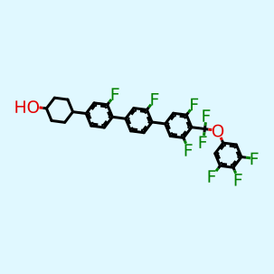 OC1CCC(c2ccc(-c3ccc(-c4cc(F)c(C(F)(F)Oc5cc(F)c(F)c(F)c5)c(F)c4)c(F)c3)c(F)c2)CC1